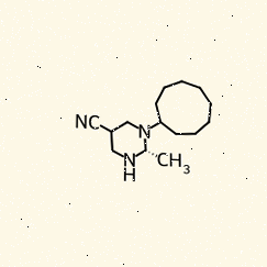 C[C@@H]1NCC(C#N)CN1C1CCCCCCCC1